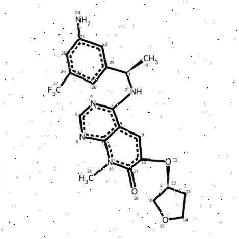 C[C@@H](Nc1ncnc2c1cc(O[C@H]1CCOC1)c(=O)n2C)c1cc(N)cc(C(F)(F)F)c1